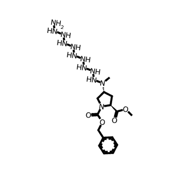 COC(=O)[C@@H]1C[C@@H](N(C)NNNNNNNNNN)CN1C(=O)OCc1ccccc1